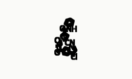 CN(CC(=O)N1CC(C(=O)Nc2ccccc2)CC1C#N)C(=O)c1ccc2c(Cl)ccnc2c1